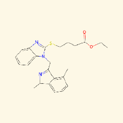 CCOC(=O)CCCSc1nc2ccccc2n1CC1=NC(C)c2cccc(C)c21